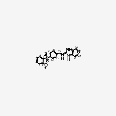 COc1ccccc1S(=O)(=O)c1ccc(CNC(=N)Nc2ccncc2)cc1